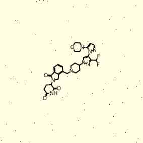 O=C1CCC(N2Cc3c(CN4CCC(n5cc(-n6nccc6N6CCOCC6)c(C(F)F)n5)CC4)cccc3C2=O)C(=O)N1